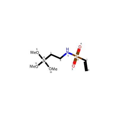 C=CS(=O)(=O)NCC[Si](OC)(OC)OC